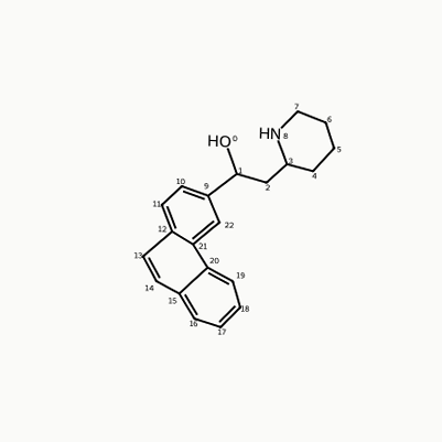 OC(CC1CCCCN1)c1ccc2ccc3ccccc3c2c1